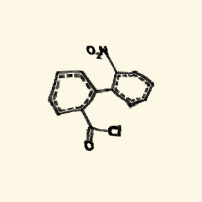 O=C(Cl)c1ccccc1-c1ccccc1[N+](=O)[O-]